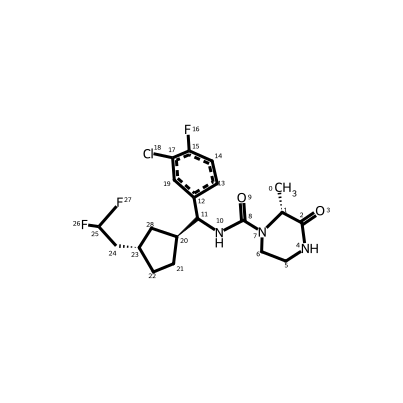 C[C@@H]1C(=O)NCCN1C(=O)NC(c1ccc(F)c(Cl)c1)[C@H]1CC[C@H](CC(F)F)C1